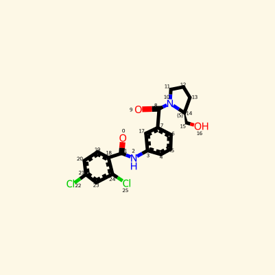 O=C(Nc1c[c]cc(C(=O)N2CCC[C@H]2CO)c1)c1ccc(Cl)cc1Cl